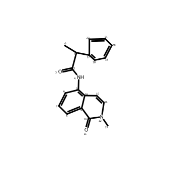 CC(C(=O)Nc1cccc2c(=O)n(C)ccc12)c1ccccc1